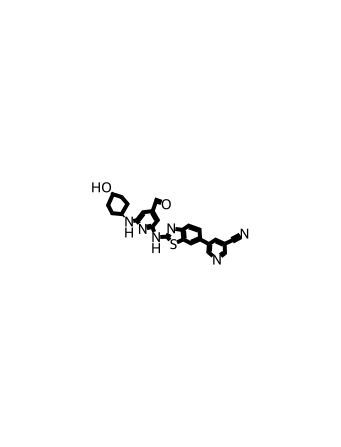 N#Cc1cncc(-c2ccc3nc(Nc4cc(C=O)cc(N[C@H]5CC[C@H](O)CC5)n4)sc3c2)c1